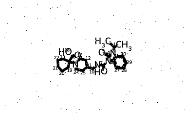 CC(C)n1c(=O)n(C(=O)NCC2CCN(C3(C(=O)O)CCCCC3)CC2)c2ccccc21